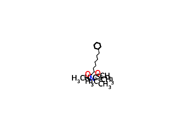 Cc1cnc(C(CCCCCCc2ccccc2)O[Si](C)(C)C(C)(C)C)o1